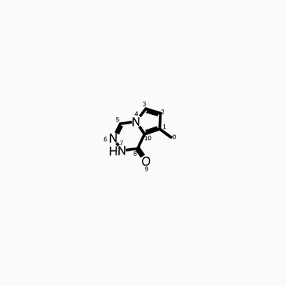 Cc1ccn2cn[nH]c(=O)c12